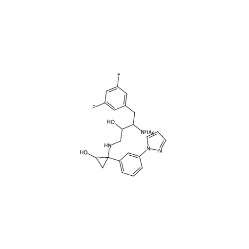 CC(=O)NC(Cc1cc(F)cc(F)c1)C(O)CNC1(c2cccc(-n3cccn3)c2)CC1O